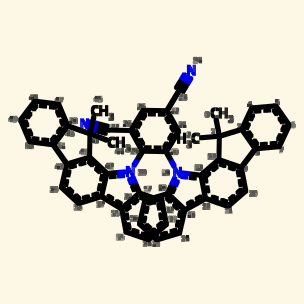 CC1(C)c2ccccc2-c2ccc3c4ccccc4n(-c4cc(C#N)cc(C#N)c4-n4c5ccccc5c5ccc6c(c54)C(C)(C)c4ccccc4-6)c3c21